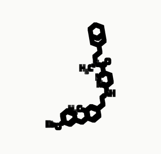 CCOc1cccc(Cc2ccc(CCNc3ccc(C(=O)N(C)CCC4CC5CCCC(C5)C4)nn3)cc2C)c1